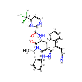 CCN1C(=O)[C@@H](NC(=O)c2nccc(C(F)(F)F)n2)[C@H](c2ccccc2/C=C/C#N)c2cnn(-c3ccccc3)c21